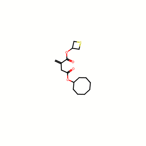 C=C(CC(=O)OC1CCCCCCC1)C(=O)OC1CSC1